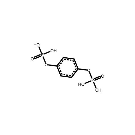 O=P(O)(O)Oc1ccc(OP(=O)(O)O)cc1